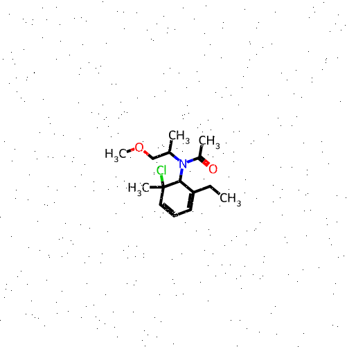 CCC1=CC=CC(C)(Cl)C1N(C(C)=O)C(C)COC